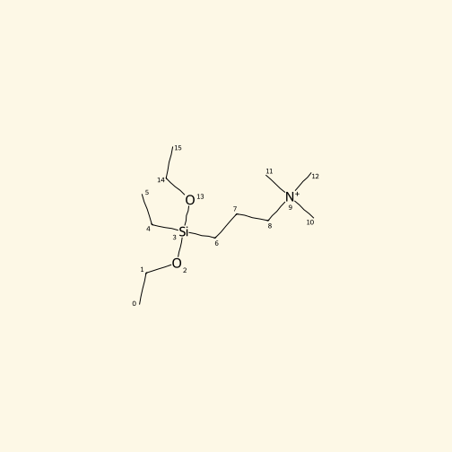 CCO[Si](CC)(CCC[N+](C)(C)C)OCC